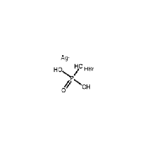 Br.O=P(O)(O)O.[Ag]